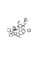 CCSc1nc(N(C)[C@H]2CCN(C(=O)O)C2)c2c(OC(C)c3ccccc3)c(C3CC3)c(-c3c(C)c(F)cc4nn(C(c5ccccc5)(c5ccccc5)c5ccccc5)cc34)c(C(C)(C)C)c2n1